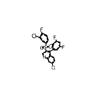 O=S(=O)(c1ccc(F)c(Cl)c1)c1cnc2cc(Cl)ccc2c1-c1cc(F)cc(F)c1